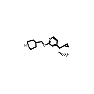 O=C(O)C[C@H](c1ccnc(OCC2CCNCC2)c1)C1CC1